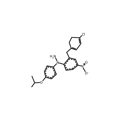 CC(C)Oc1ccc(N(N)c2ccc([N+](=O)[O-])cc2CC2=CC=C(Cl)CC2)cc1